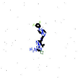 CC(C)c1c(/C=C/CN2CCN(c3cc(F)cc(F)c3)CC2)cnn1-c1nc(N)cc(Cl)n1